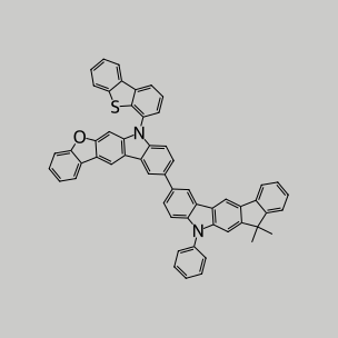 CC1(C)c2ccccc2-c2cc3c4cc(-c5ccc6c(c5)c5cc7c(cc5n6-c5cccc6c5sc5ccccc56)oc5ccccc57)ccc4n(-c4ccccc4)c3cc21